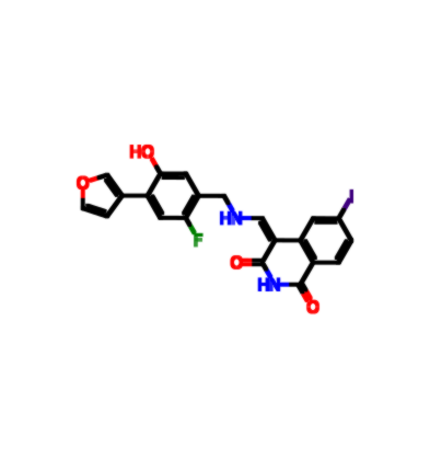 O=C1NC(=O)c2ccc(I)cc2C1=CNCc1cc(O)c(-c2ccoc2)cc1F